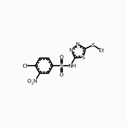 CCSc1nnc(NS(=O)(=O)c2ccc(Cl)c([N+](=O)[O-])c2)s1